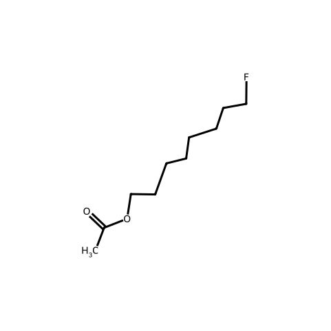 CC(=O)OCCCCCCCCF